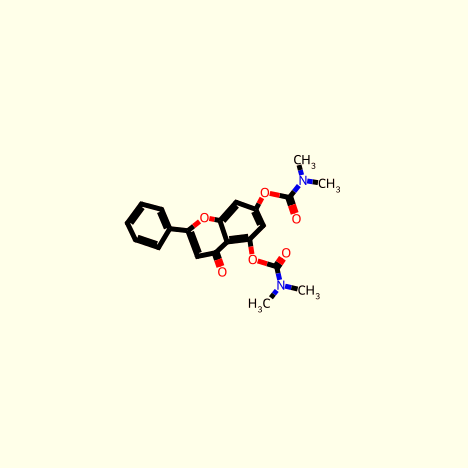 CN(C)C(=O)Oc1cc(OC(=O)N(C)C)c2c(=O)cc(-c3ccccc3)oc2c1